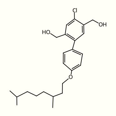 CC(C)CCCC(C)CCOc1ccc(-c2cc(CO)c(Cl)cc2CO)cc1